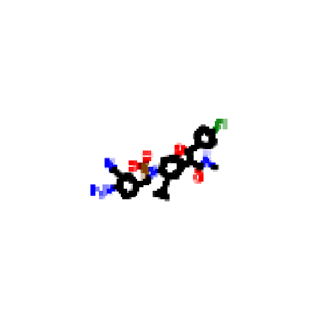 CNC(=O)c1c(-c2ccc(Cl)cc2)oc2cc(N(Cc3ccc(N)c(C#N)c3)[SH](=O)=O)c(C3CC3)cc12